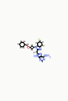 C[C@@H](c1nc2c(N)ncnc2[nH]1)c1nc2ccc(F)cc2n1[C@H]1C[C@H](OCc2ccccc2)C1